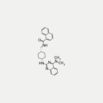 CN(C)c1nc(N[C@H]2CC[C@@H](CNC(=O)c3cccc4ccccc34)CC2)nc2ccccc12